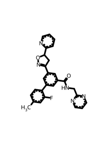 Cc1ccc(-c2cc(C(=O)NCc3ncccn3)cc(C3=NOC(c4ccccn4)C3)c2)c(F)c1